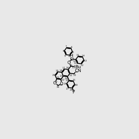 CC(C)(C)C(O[SiH](c1ccccc1)c1ccccc1)c1cc2ccc3c(c2c(-c2ccc(F)cc2)c1CC#N)OCO3